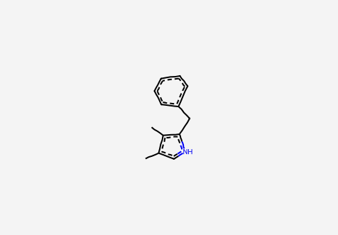 Cc1c[nH]c(Cc2ccccc2)c1C